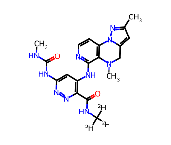 [2H]C([2H])([2H])NC(=O)c1nnc(NC(=O)NC)cc1Nc1nccc2c1N(C)Cc1cc(C)nn1-2